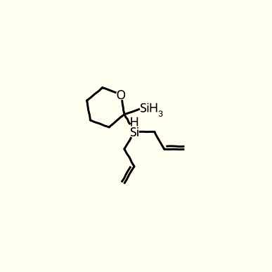 C=CC[SiH](CC=C)C1([SiH3])CCCCO1